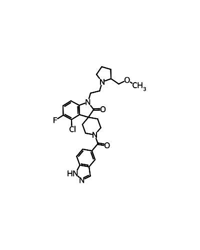 COCC1CCCN1CCN1C(=O)C2(CCN(C(=O)c3ccc4[nH]ncc4c3)CC2)c2c1ccc(F)c2Cl